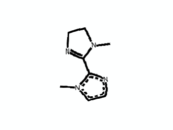 CN1CCN=C1c1nccn1C